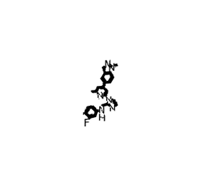 Cc1cc(-c2ccc3c(cnn3C)c2)cc(-n2ccnc2CNc2cccc(F)c2)n1